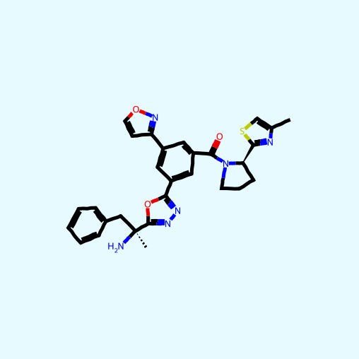 Cc1csc([C@H]2CCCN2C(=O)c2cc(-c3ccon3)cc(-c3nnc([C@@](C)(N)Cc4ccccc4)o3)c2)n1